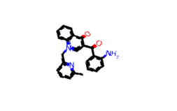 Cc1cccc(Cn2cc(C(=O)c3ccccc3N)c(=O)c3ccccc32)n1